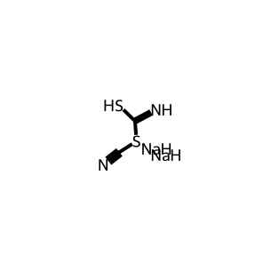 N#CSC(=N)S.[NaH].[NaH]